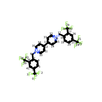 FC(F)(F)c1ccc(C[n+]2ccc(-c3cc[n+](Cc4ccc(C(F)(F)F)cc4C(F)(F)F)cc3)cc2)c(C(F)(F)F)c1